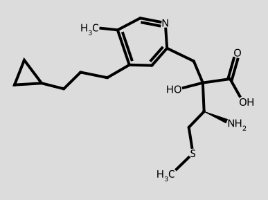 CSC[C@H](N)C(O)(Cc1cc(CCCC2CC2)c(C)cn1)C(=O)O